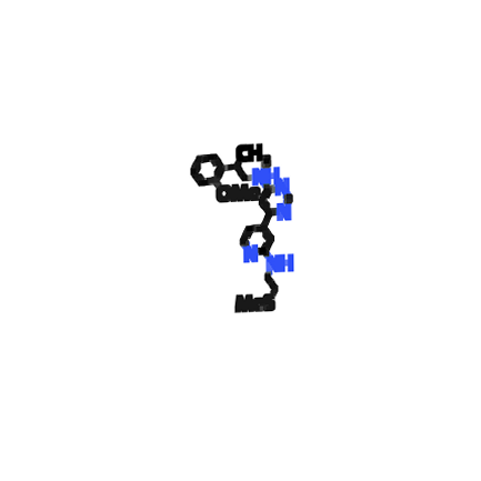 COc1ccccc1C(C)CNc1cc(-c2ccnc(NCCSC)c2)ncn1